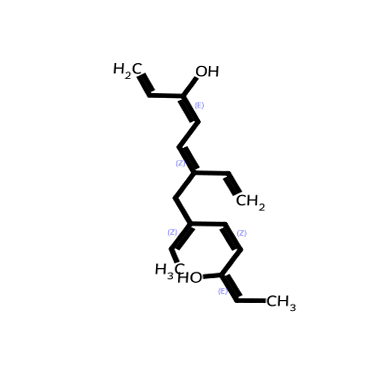 C=C/C(=C\C=C(\O)C=C)CC(/C=C\C(O)=C/C)=C/C